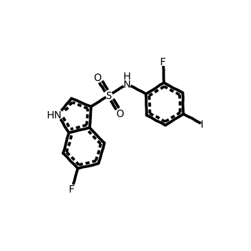 O=S(=O)(Nc1ccc(I)cc1F)c1c[nH]c2cc(F)ccc12